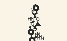 O=C(NCCN(Cc1ccc(-c2ccccc2-c2nnn[nH]2)cc1)C(=O)C1CC1)C(CS)Cc1ccccc1